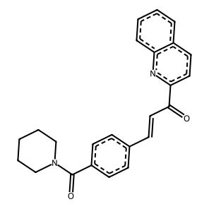 O=C(C=Cc1ccc(C(=O)N2CCCCC2)cc1)c1ccc2ccccc2n1